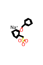 O=S(=O)([O-])Cc1ccccc1OCc1ccccc1.[Na+]